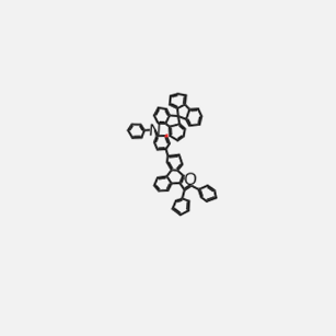 c1ccc(-c2oc3c4ccc(-c5ccc(N(c6ccccc6)c6cccc7c6-c6ccccc6C76c7ccccc7-c7ccccc76)cc5)cc4c4ccccc4c3c2-c2ccccc2)cc1